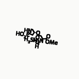 COC(=O)C(N)CC(=O)O[C@H]1CN[C@H](C(=O)O)C1.O[SiH3]